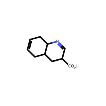 O=C(O)C1C=NC2CC=CCC2C1